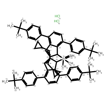 CC(C)(C)c1ccc(-c2ccc(-c3ccc(C(C)(C)C)cc3)c3c2C=C(CC2CC2)[CH]3[Zr]([CH3])([CH3])(=[SiH2])[CH]2C(CC3CC3)=Cc3c(-c4ccc(C(C)(C)C)cc4)ccc(-c4ccc(C(C)(C)C)cc4)c32)cc1.Cl.Cl